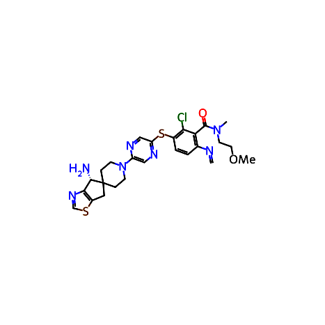 C=Nc1ccc(Sc2cnc(N3CCC4(CC3)Cc3scnc3[C@@H]4N)cn2)c(Cl)c1C(=O)N(C)CCOC